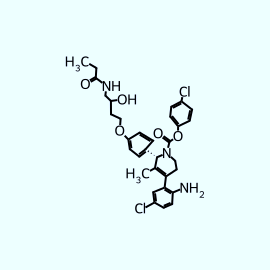 CCC(=O)NCC(O)CCOc1ccc([C@H]2C(C)=C(c3cc(Cl)ccc3N)CCN2C(=O)Oc2ccc(Cl)cc2)cc1